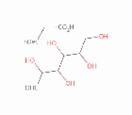 CCCCCCCCCCCC(=O)O.O=CC(O)C(O)C(O)C(O)CO